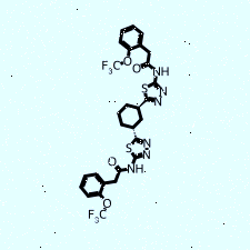 O=C(Cc1ccccc1OC(F)(F)F)Nc1nnc([C@@H]2CCC[C@@H](c3nnc(NC(=O)Cc4ccccc4OC(F)(F)F)s3)C2)s1